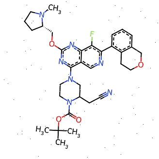 CN1CCC[C@H]1COc1nc(N2CCN(C(=O)OC(C)(C)C)C(CC#N)C2)c2cnc(-c3cccc4c3CCOC4)c(F)c2n1